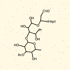 CCCCCCCC(CC=O)OC(O)C(O)C(OC1OC(C)C(O)C(OC(C)=O)C1O)C(O)C(C)C